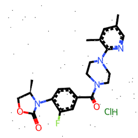 Cc1cnc(N2CCN(C(=O)c3ccc(N4C(=O)OC[C@H]4C)c(F)c3)CC2)c(C)c1.Cl